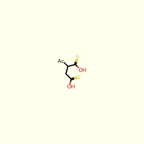 CC(=O)C(CC(O)=S)C(O)=S